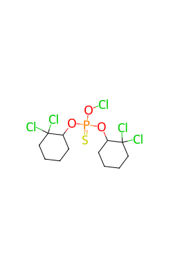 S=P(OCl)(OC1CCCCC1(Cl)Cl)OC1CCCCC1(Cl)Cl